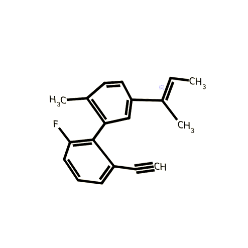 C#Cc1cccc(F)c1-c1cc(/C(C)=C/C)ccc1C